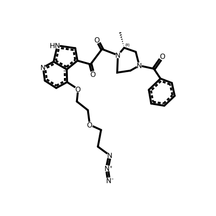 C[C@@H]1CN(C(=O)c2ccccc2)CCN1C(=O)C(=O)c1c[nH]c2nccc(OCCOCCN=[N+]=[N-])c12